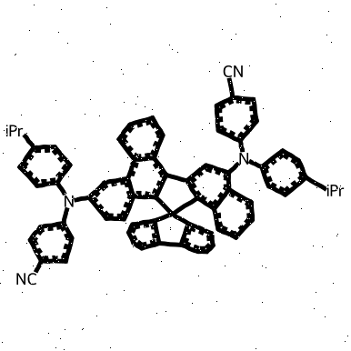 CC(C)c1ccc(N(c2ccc(C#N)cc2)c2ccc3c4c(c5ccccc5c3c2)-c2cc(N(c3ccc(C#N)cc3)c3ccc(C(C)C)cc3)c3ccccc3c2C42c3ccccc3-c3ccccc32)cc1